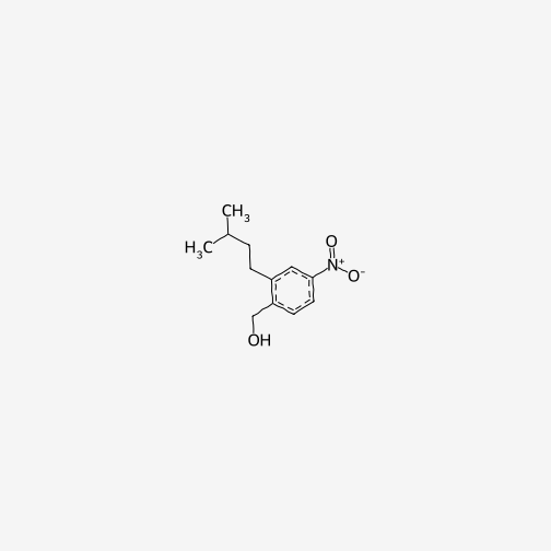 CC(C)CCc1cc([N+](=O)[O-])ccc1CO